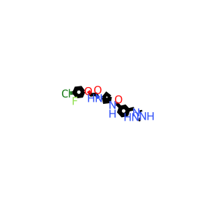 O=C(COc1ccc(Cl)c(F)c1)NC12CC(C1)C(NC(=O)c1cccc(CN3CNCN3)c1)C2